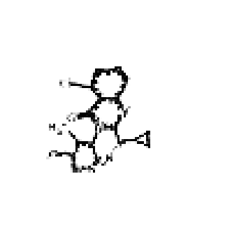 Cc1c(F)cncc1-n1c([C@@H](N)C2CC2)nc2cccc(Cl)c2c1=O